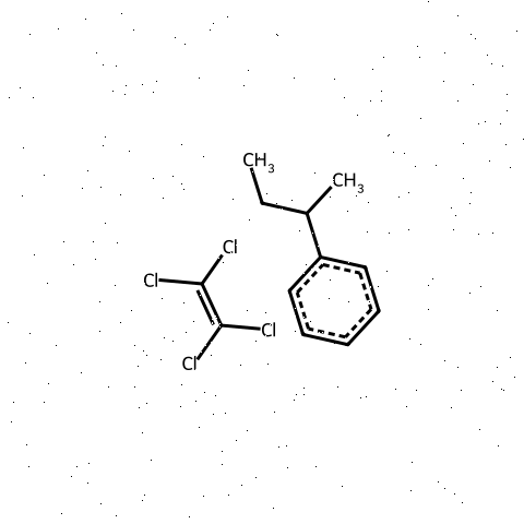 CCC(C)c1ccccc1.ClC(Cl)=C(Cl)Cl